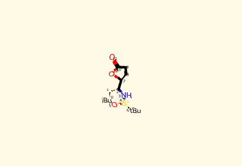 CC[C@@H](C)C[C@@H](N[S@@+]([O-])C(C)(C)C)[C@@H]1CCC(=O)O1